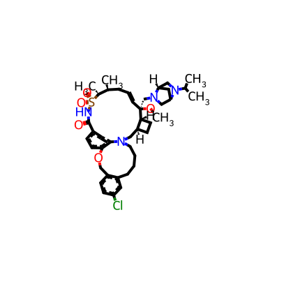 CO[C@]1(CN2CC3C[C@H]2CN3C(C)C)/C=C/C[C@H](C)[C@@H](C)S(=O)(=O)NC(=O)c2ccc3c(c2)N(CCCCc2cc(Cl)ccc2CO3)C[C@@H]2CC[C@H]21